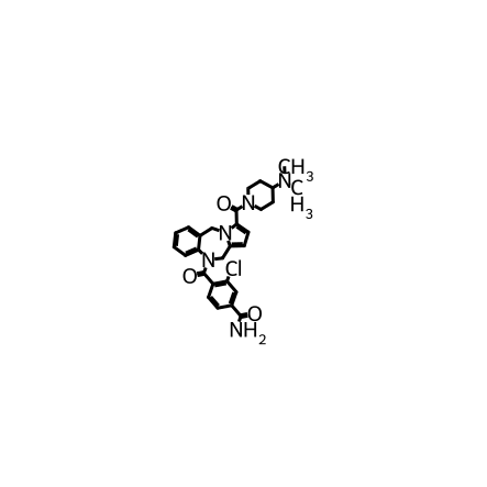 CN(C)C1CCN(C(=O)c2ccc3n2Cc2ccccc2N(C(=O)c2ccc(C(N)=O)cc2Cl)C3)CC1